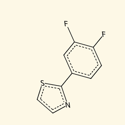 Fc1ccc(-c2nccs2)cc1F